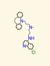 CN(CCCNc1ccnc2cc(Cl)ccc12)CCCN1c2ccccc2CCc2ccccc21